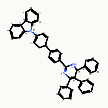 C1=CC(c2ccc(C3=NC(c4ccccc4)=C(c4ccccc4)C(c4ccccc4)N3)cc2)CC=C1n1c2ccccc2c2ccccc21